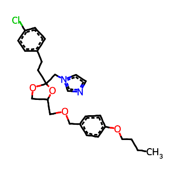 CCCCOc1ccc(COCC2COC(CCc3ccc(Cl)cc3)(Cn3ccnc3)O2)cc1